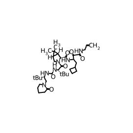 C=CCNC(=O)C(=O)C(CC1CCC1)NC(=O)[C@@H]1[C@@H]2[C@H](CN1C(=O)[C@@H](NC(=O)N[C@H](CN1CCCCC1=O)C(C)(C)C)C(C)(C)C)C2(C)C